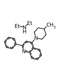 CC1CCN(c2cc(-c3ccccc3)nc3ccccc23)CC1.CCNCC